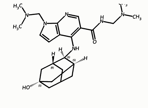 CN(C)CNC(=O)c1cnc2c(ccn2CN(C)C)c1N[C@@H]1[C@@H]2CC3C[C@H]1C[C@@](O)(C3)C2